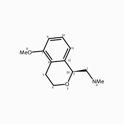 CNC[C@H]1OCCc2c(OC)cccc21